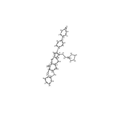 O=c1[nH]c2cc3nc(-c4ccc(-c5ccncc5)cc4)n(CCN4CCCC4)c3cc2nc1Cc1ccccc1